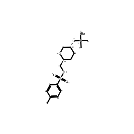 Cc1ccc(S(=O)(=O)OC[C@@H]2CC[C@@H](O[Si](C)(C)C(C)(C)C)CO2)cc1